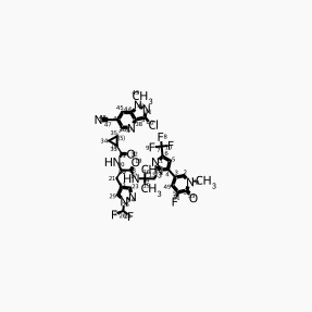 Cn1cc(-c2cc(C(F)(F)F)nn2CC(C)(C)NC(=O)[C@@H](Cc2cnn(C(F)F)c2)NC(=O)[C@H]2C[C@@H]2c2nc3c(Cl)nn(C)c3cc2C#N)cc(F)c1=O